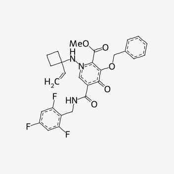 C=CC1(Nn2cc(C(=O)NCc3c(F)cc(F)cc3F)c(=O)c(OCc3ccccc3)c2C(=O)OC)CCC1